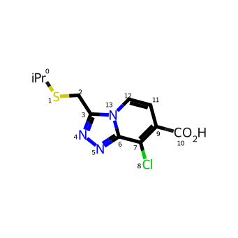 CC(C)SCc1nnc2c(Cl)c(C(=O)O)ccn12